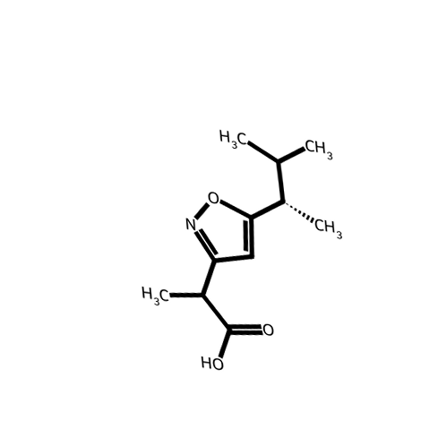 CC(C(=O)O)c1cc([C@@H](C)C(C)C)on1